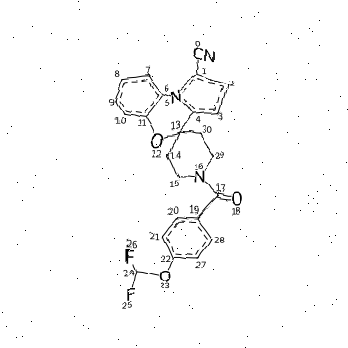 N#Cc1ccc2n1-c1ccccc1OC21CCN(C(=O)c2ccc(OC(F)F)cc2)CC1